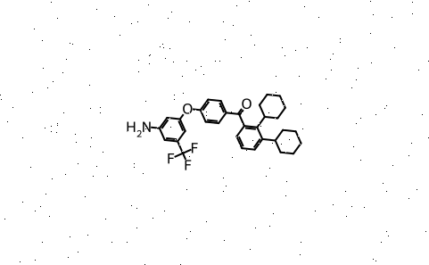 Nc1cc(Oc2ccc(C(=O)c3cccc(C4CCCCC4)c3C3CCCCC3)cc2)cc(C(F)(F)F)c1